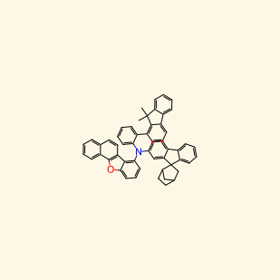 CC1(C)c2ccccc2-c2cccc(-c3ccccc3N(c3ccc4c(c3)C3(CC5CCC3C5)c3ccccc3-4)c3cccc4oc5c6ccccc6ccc5c34)c21